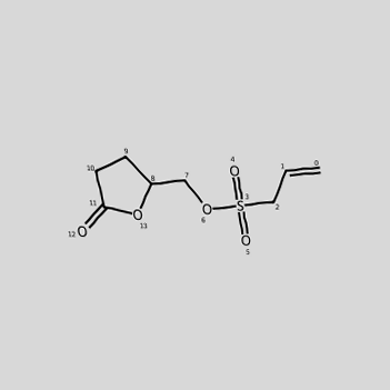 C=CCS(=O)(=O)OCC1CCC(=O)O1